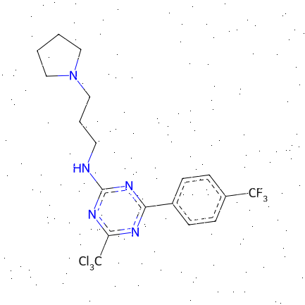 FC(F)(F)c1ccc(-c2nc(NCCCN3CCCC3)nc(C(Cl)(Cl)Cl)n2)cc1